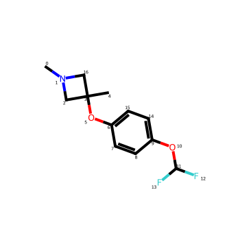 CN1CC(C)(Oc2ccc(OC(F)F)cc2)C1